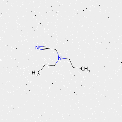 CCCN(CC#N)CCC